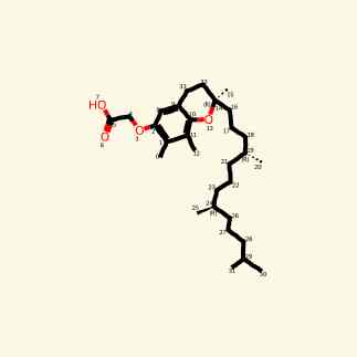 Cc1c(OCC(=O)O)cc2c(c1C)O[C@](C)(CCC[C@H](C)CCC[C@H](C)CCCC(C)C)CC2